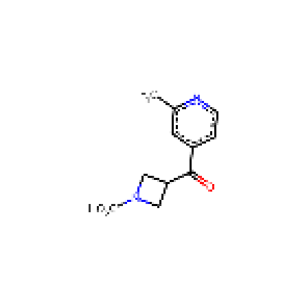 O=C(c1ccnc(C(F)(F)F)c1)C1CN(C(=O)O)C1